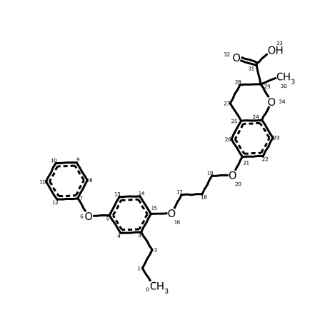 CCCc1cc(Oc2ccccc2)ccc1OCCCOc1ccc2c(c1)CCC(C)(C(=O)O)O2